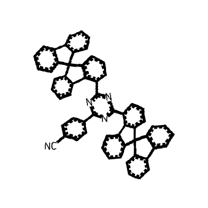 N#Cc1ccc(-c2nc(-c3cccc4c3-c3ccccc3C43c4ccccc4-c4ccccc43)nc(-c3cccc4c3-c3ccccc3C43c4ccccc4-c4ccccc43)n2)cc1